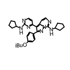 CC(C)COc1ccc(-c2nn3c(NC4CCCC4)nccc3c2-c2ccnc(NC3CCCC3)n2)cc1